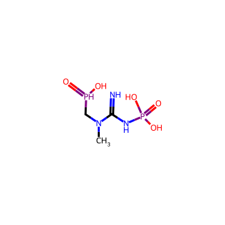 CN(C[PH](=O)O)C(=N)NP(=O)(O)O